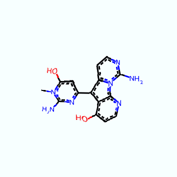 C[n+]1c(O)cc(-c2c3c(O)ccnc3n3c(N)nccc23)nc1N